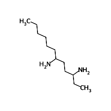 CCCCCCC(N)CCC(N)CC